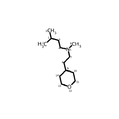 CC(C)CCN(C)CCC1CCOCC1